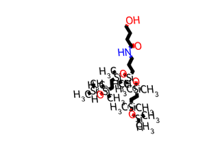 C[SiH](C)O[Si](C)(C)CC[Si](C)(C)O[Si](C)(CCCNC(=O)CCCO)O[Si](C)(C)CC[Si](C)(C)O[SiH](C)C